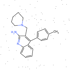 Cc1ccc(-c2c(CN3CCCCC3)c(N)nc3ccccc23)cc1